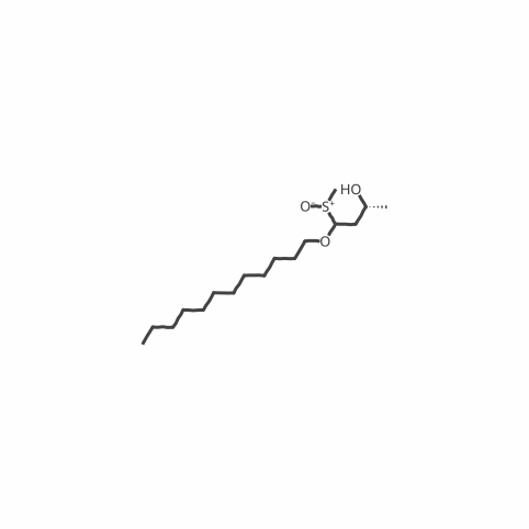 CCCCCCCCCCCCOC(C[C@@H](C)O)[S+](C)[O-]